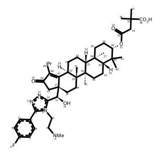 CNCCn1c(-c2ccc(F)cc2)nnc1[C@H](O)[C@@]12CC[C@]3(C)[C@H](CC[C@@H]4[C@@]5(C)CC[C@H](OC(=O)CC(C)(C)C(=O)O)C(C)(C)[C@@H]5CC[C@]43C)C1=C(C(C)C)C(=O)C2